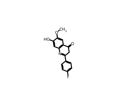 COc1cc2c(cc1O)N=C(c1ccc(F)cc1)CC2=O